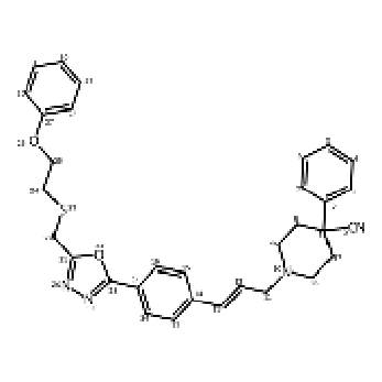 N#CC1(c2ccccc2)CCN(C/C=C/c2ccc(-c3nnc(CSCCOc4ccccc4)o3)cc2)CC1